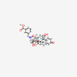 COC(=O)c1cccc(CN2C[C@@H]3C[C@H]4[C@@H]5CCC6=CC(=O)C=C[C@]6(C)[C@@]5(F)[C@@H](O)C[C@]4(C)[C@]3(C(=O)CO)O2)c1